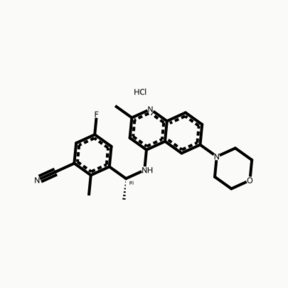 Cc1cc(N[C@H](C)c2cc(F)cc(C#N)c2C)c2cc(N3CCOCC3)ccc2n1.Cl